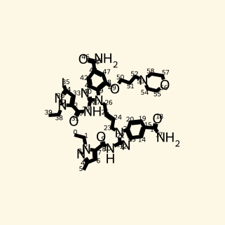 CCn1nc(C)cc1C(=O)Nc1nc2cc(C(N)=O)ccc2n1C/C=C/Cn1c(NC(=O)c2cc(I)nn2CC)nc2cc(C(N)=O)cc(OCCCN3CCOCC3)c21